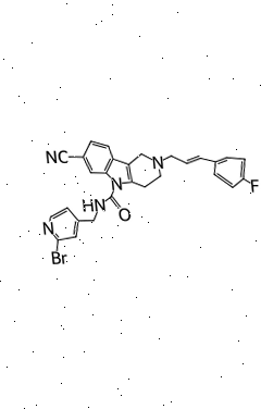 N#Cc1ccc2c3c(n(C(=O)NCc4ccnc(Br)c4)c2c1)CCN(CC=Cc1ccc(F)cc1)C3